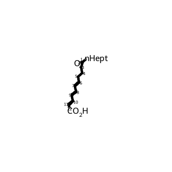 CCCCCCCC1OC1CCC=CC=CC=CC(=O)O